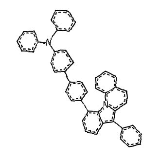 c1ccc(-c2c3cccc(-c4ccc(-c5ccc(N(c6ccccc6)c6ccccc6)cc5)cc4)c3n3c2ccc2ccccc23)cc1